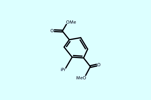 COC(=O)c1ccc(C(=O)OC)c(C(C)C)c1